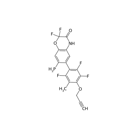 C#CCOc1c(C)c(F)c(-c2cc3c(cc2P)OC(F)(F)C(=O)N3)c(F)c1F